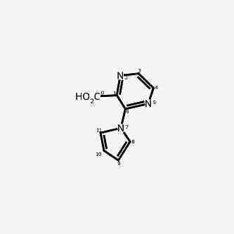 O=C(O)c1nccnc1-n1cccc1